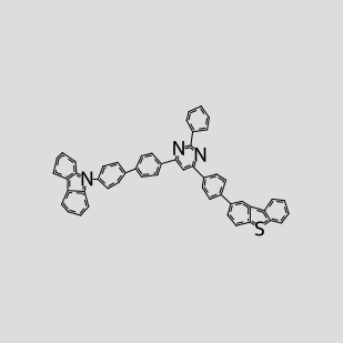 c1ccc(-c2nc(-c3ccc(-c4ccc(-n5c6ccccc6c6ccccc65)cc4)cc3)cc(-c3ccc(-c4ccc5sc6ccccc6c5c4)cc3)n2)cc1